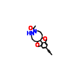 CC#Cc1cc(C)c(C2C(=O)CCCNN(C(C)=O)CCCC2=O)c(C)c1